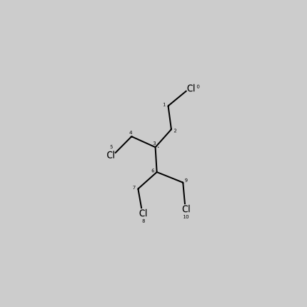 ClCC[C](CCl)C(CCl)CCl